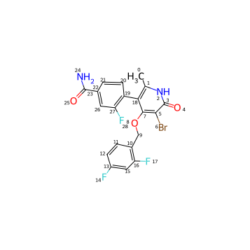 Cc1[nH]c(=O)c(Br)c(OCc2ccc(F)cc2F)c1-c1ccc(C(N)=O)cc1F